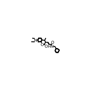 CCN(CC)c1ccc2c(c1)OC(=O)C(C=CC(=O)NCc1ccccc1)C2C